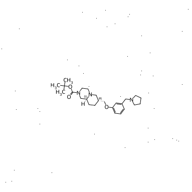 CC(C)(C)OC(=O)N1CCN2C[C@H](COc3cccc(CN4CCCC4)c3)CC[C@H]2C1